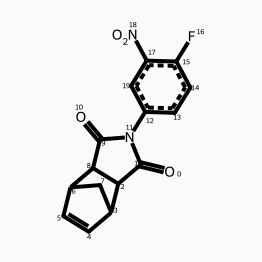 O=C1C2C3C=CC(C3)C2C(=O)N1c1ccc(F)c([N+](=O)[O-])c1